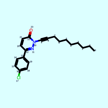 CCCCCCCCC#Cn1nc(-c2ccc(Cl)cc2)ccc1=O